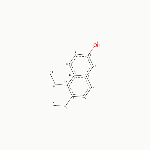 CCc1ccc2cc(O)ccc2c1CC